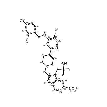 CC(C)(C#N)Cn1c(CC2CC=C(c3ncc(F)c(OCc4ccc(Cl)cc4F)n3)CC2)nc2ccc(C(=O)O)nc21